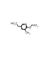 Cc1cc(CC(=O)O)cnc1OCC(F)(F)F